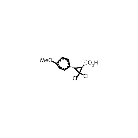 COc1ccc([C@@H]2[C@@H](C(=O)O)C2(Cl)Cl)cc1